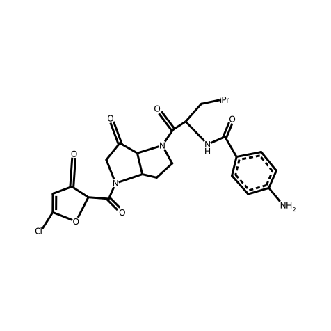 CC(C)CC(NC(=O)c1ccc(N)cc1)C(=O)N1CCC2C1C(=O)CN2C(=O)C1OC(Cl)=CC1=O